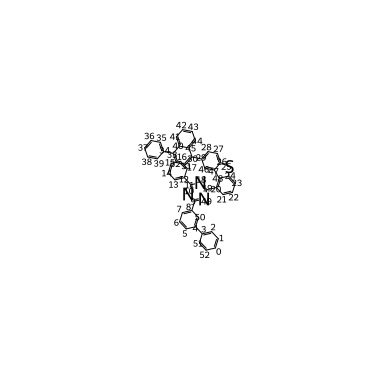 c1ccc(-c2cccc(-c3nc(-c4ccccc4)nc(-c4cccc5sc6ccc(-c7ccc(-c8ccccc8)c8ccccc78)cc6c45)n3)c2)cc1